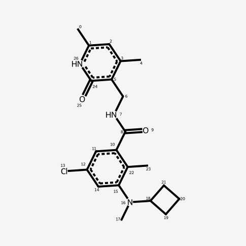 Cc1cc(C)c(CNC(=O)c2cc(Cl)cc(N(C)C3CCC3)c2C)c(=O)[nH]1